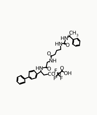 C[C@@H](NC(=O)NCCCC(=O)NCC(=O)NC(CC(=O)O)c1ccc(-c2ccccc2)cc1)c1ccccc1.O=C(O)C(F)(F)F